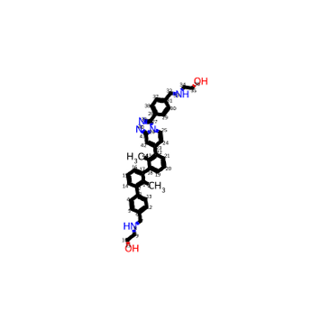 Cc1c(-c2ccc(CNCCO)cc2)cccc1-c1cccc(-c2ccn3c(-c4ccc(CNCCO)cc4)nnc3c2)c1C